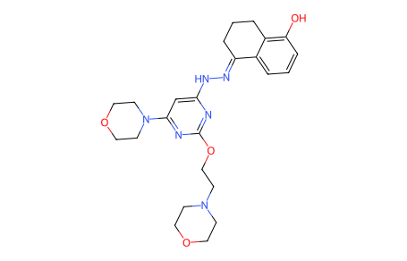 Oc1cccc2c1CCC/C2=N\Nc1cc(N2CCOCC2)nc(OCCN2CCOCC2)n1